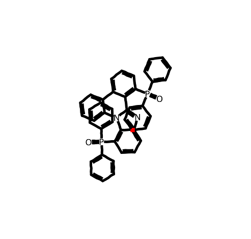 O=P(c1ccccc1)(c1ccccc1)c1cccc2c3ccccc3n3c(nc4cccc(P(=O)(c5ccccc5)c5ccccc5)c43)c12